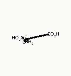 NC(=O)[C@H](CCC(=O)O)NC(=O)CCCCCCCCCCCCCCCCCCC(=O)O